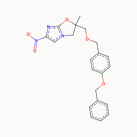 CC1(COCc2ccc(OCc3ccccc3)cc2)Cn2cc([N+](=O)[O-])nc2O1